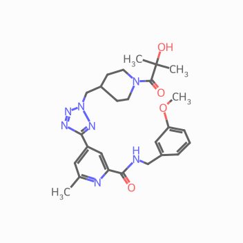 COc1cccc(CNC(=O)c2cc(-c3nnn(CC4CCN(C(=O)C(C)(C)O)CC4)n3)cc(C)n2)c1